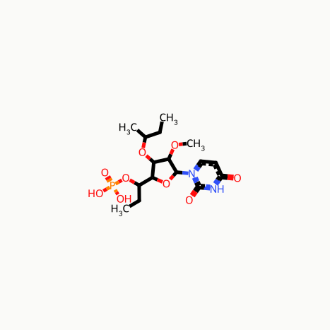 CCC(C)OC1C(C(CC)OP(=O)(O)O)OC(n2ccc(=O)[nH]c2=O)C1OC